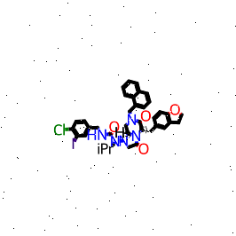 CC(C)N(C(=O)NCc1ccc(Cl)c(I)c1)N1CC(=O)N2[C@@H](Cc3ccc4c(c3)CCO4)C(=O)N(Cc3cccc4ccccc34)C[C@@H]21